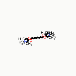 C=C1CC(OC(=O)CCCCCCCCC(=O)OC2CC(C)(C)N(C)C(C)(C)C2)CC(=C)N1C